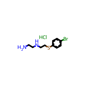 Cl.NCCNCCSc1ccc(Br)cc1